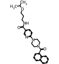 CC(C)OCCCNC(=O)c1ccc(N2CCN(C(=O)c3cccc4ccccc34)CC2)nc1